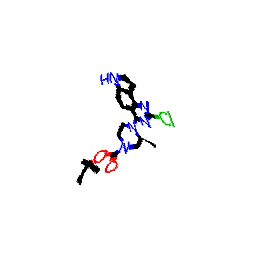 C[C@H]1CN(C(=O)OC(C)(C)C)CCN1c1nc(Cl)nc2c1ccc1[nH]ccc12